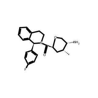 C[C@@H]1C[C@@H](C(=O)N2CCc3ccccc3[C@@H]2c2ccc(F)cc2)OC[C@@H]1N